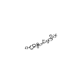 CC(C)(C)OC(=O)N1CCc2sc(CN[C@H]3CCN(S(=O)(=O)c4ccc5cc(Cl)ccc5c4)C3)cc2C1